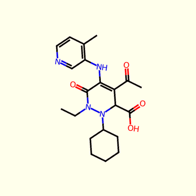 CCN1C(=O)C(Nc2cnccc2C)=C(C(C)=O)C(C(=O)O)N1C1CCCCC1